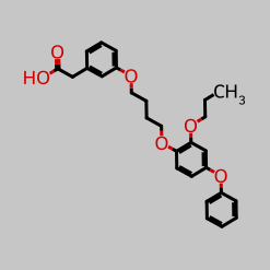 CCCOc1cc(Oc2ccccc2)ccc1OCCCCOc1cccc(CC(=O)O)c1